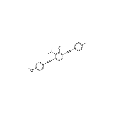 COc1ccc(C#Cc2ccc(C#Cc3ccc(C)cc3)c(F)c2C(C)C)cc1